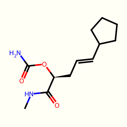 CNC(=O)[C@H](CC=CC1CCCC1)OC(N)=O